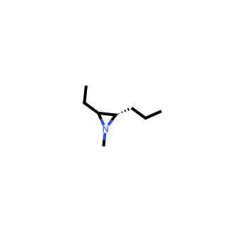 CCC[C@H]1C(CC)N1C